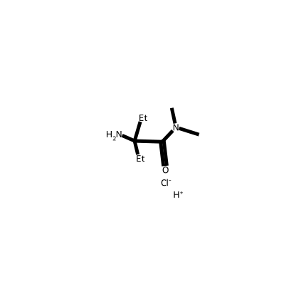 CCC(N)(CC)C(=O)N(C)C.[Cl-].[H+]